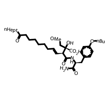 CCCCCCCC(=O)CCCCCCC=C[C@H](C(=O)N[C@@H](Cc1ccc(OCCCC)cc1)C(N)=O)[C@@](O)(COC)C(=O)O